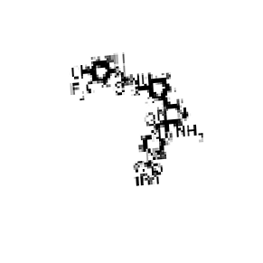 CC(C)(C)OC(=O)N1CCN(C(=O)C2(C)N=C(c3cccc(CNC(=O)Nc4ccc(Cl)c(C(F)(F)F)c4)c3)C=NC2N)CC1